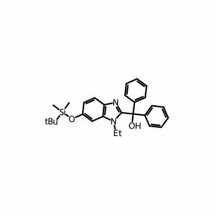 CCn1c(C(O)(c2ccccc2)c2ccccc2)nc2ccc(O[Si](C)(C)C(C)(C)C)cc21